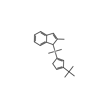 CC1=Cc2ccccc2C1[Si](C)(C)C1=CC(C(C)(C)C)=CC1